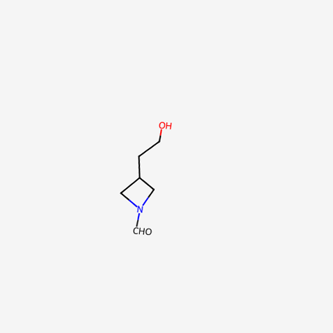 O=CN1CC(CCO)C1